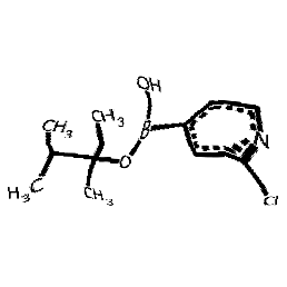 CC(C)C(C)(C)OB(O)c1ccnc(Cl)c1